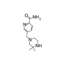 CC1(C)CN(Cc2ccc(C(N)=O)nc2)CCN1